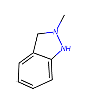 CN1Cc2c[c]ccc2N1